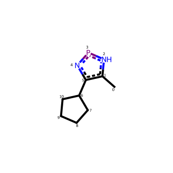 Cc1[nH]pnc1C1CCCC1